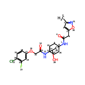 Cc1cc(CC(=O)NC23CCC(NC(=O)COc4ccc(Cl)c(F)c4)(CC2)C(O)C3)on1